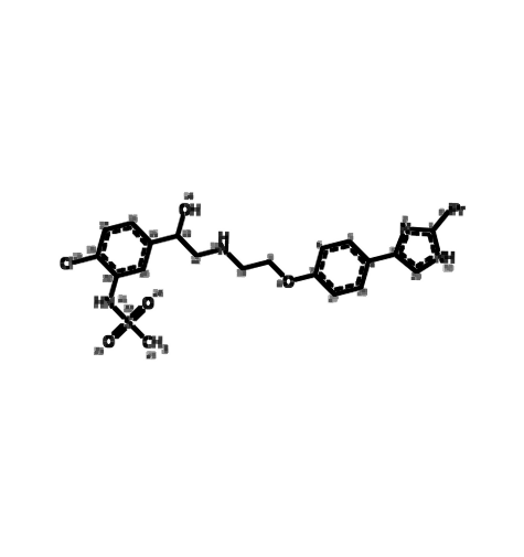 CC(C)c1nc(-c2ccc(OCCNCC(O)c3ccc(Cl)c(NS(C)(=O)=O)c3)cc2)c[nH]1